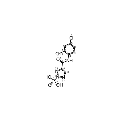 O=C(Nc1ccc(Cl)cc1Cl)c1cnn(P(=O)(O)O)n1